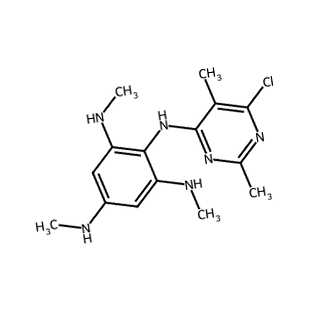 CNc1cc(NC)c(Nc2nc(C)nc(Cl)c2C)c(NC)c1